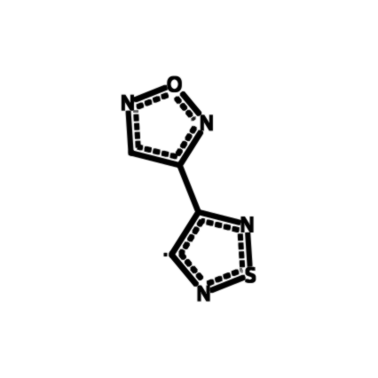 [c]1nsnc1-c1cnon1